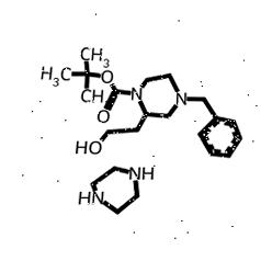 C1CNCCN1.CC(C)(C)OC(=O)N1CCN(Cc2ccccc2)CC1CCO